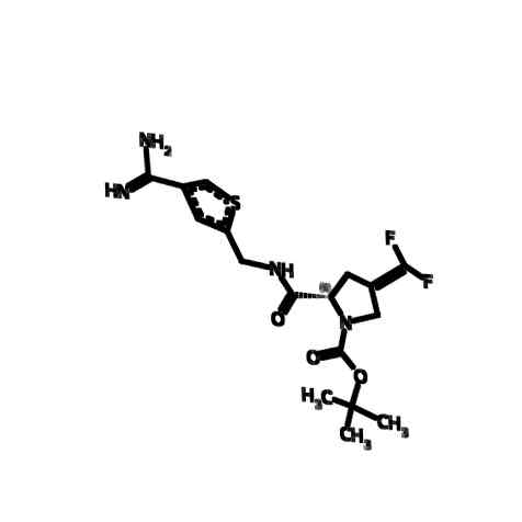 CC(C)(C)OC(=O)N1CC(=C(F)F)C[C@H]1C(=O)NCc1cc(C(=N)N)cs1